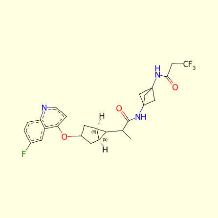 CC(C(=O)NC12CC(NC(=O)CC(F)(F)F)(C1)C2)C1[C@H]2CC(Oc3ccnc4ccc(F)cc34)C[C@@H]12